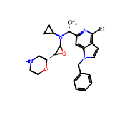 CCc1nc([C@@H](C)N(C2CC2)C2OC2[C@H]2CNCCO2)cc2c1ccn2Cc1ccccc1